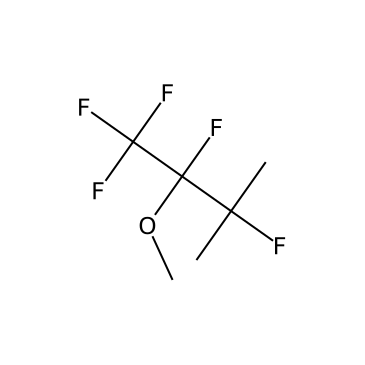 COC(F)(C(C)(C)F)C(F)(F)F